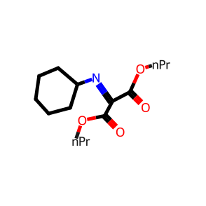 CCCOC(=O)C(=NC1CCCCC1)C(=O)OCCC